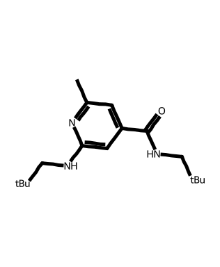 Cc1cc(C(=O)NCC(C)(C)C)cc(NCC(C)(C)C)n1